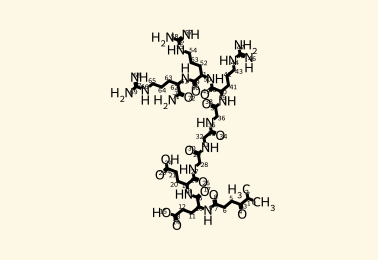 CC(C)C(=O)CCC(=O)NC(CCC(=O)O)C(=O)NC(CCC(=O)O)C(=O)NCC(=O)NCC(=O)NCC(=O)NC(CCCNC(=N)N)C(=O)NC(CCCNC(=N)N)C(=O)NC(CCCNC(=N)N)C(N)=O